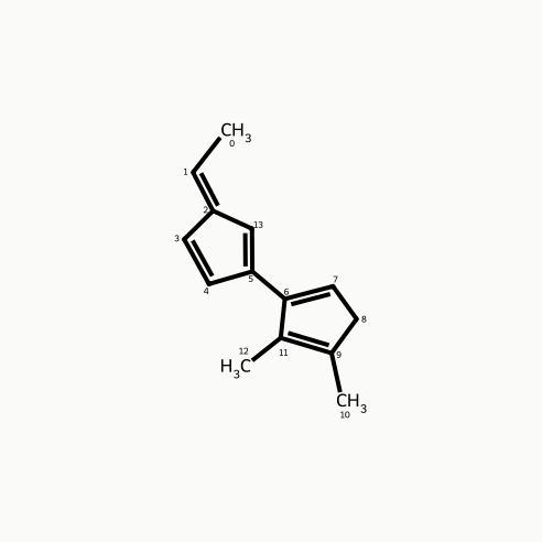 CC=C1C=CC(C2=CCC(C)=C2C)=C1